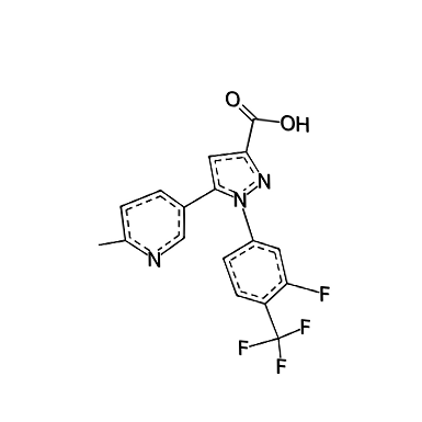 Cc1ccc(-c2cc(C(=O)O)nn2-c2ccc(C(F)(F)F)c(F)c2)cn1